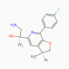 CC(=O)[C@@]1(C)COc2c1cc([C@@](O)(CN)C(F)(F)F)nc2-c1ccc(F)cc1